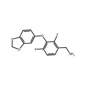 NCc1ccc(F)c(Oc2ccc3c(c2)OCO3)c1F